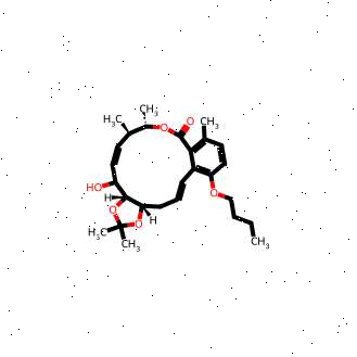 CCCCOc1ccc(C)c2c1/C=C/C[C@@H]1OC(C)(C)O[C@@H]1C(O)/C=C\[C@@H](C)[C@H](C)OC2=O